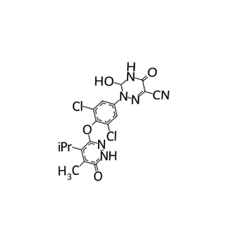 Cc1c(C(C)C)c(Oc2c(Cl)cc(N3N=C(C#N)C(=O)NC3O)cc2Cl)n[nH]c1=O